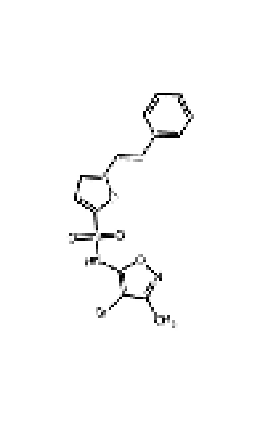 Cc1noc(NS(=O)(=O)c2ccc(C=Cc3ccccc3)o2)c1Br